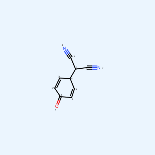 N#CC(C#N)C1C=CC(=O)C=C1